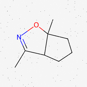 CC1=NOC2(C)CCCC12